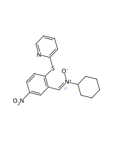 O=[N+]([O-])c1ccc(Sc2ccccn2)c(/C=[N+](\[O-])C2CCCCC2)c1